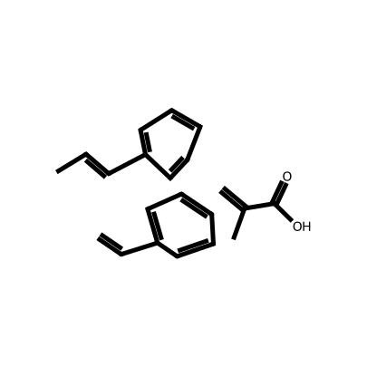 C=C(C)C(=O)O.C=Cc1ccccc1.CC=Cc1ccccc1